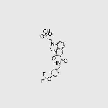 CS(=O)(=O)CCN1CCn2c(=O)c(C(=O)NCc3ccc(OC(F)F)cc3)cc3cccc1c32